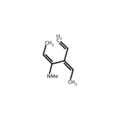 C=CC(=C/C)/C(=C\C)NC